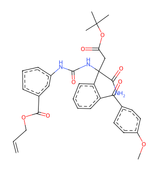 C=CCOC(=O)c1cccc(NC(=O)NC(CC(=O)OC(C)(C)C)(C(N)=O)c2ccccc2C(=O)c2ccc(OC)cc2)c1